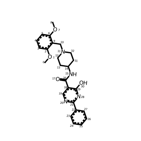 COc1cccc(OC)c1CN1CCC(NC(=O)c2cnc(-c3ccccc3)nc2O)CC1